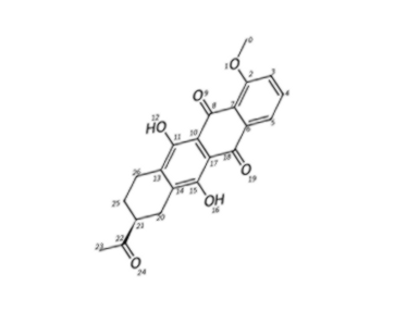 COc1cccc2c1C(=O)c1c(O)c3c(c(O)c1C2=O)C[C@@H](C(C)=O)CC3